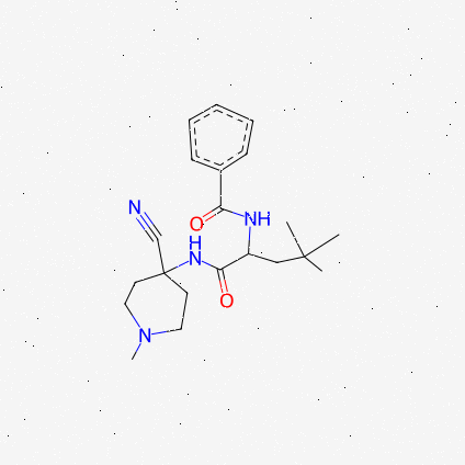 CN1CCC(C#N)(NC(=O)C(CC(C)(C)C)NC(=O)c2ccccc2)CC1